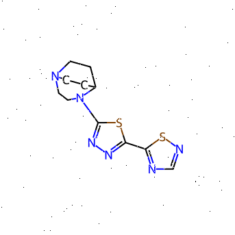 c1nsc(-c2nnc(N3CCN4CCC3CC4)s2)n1